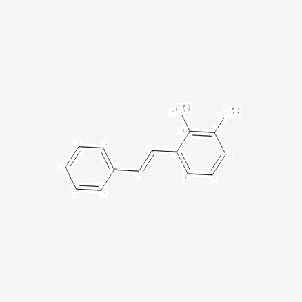 N#Cc1cccc(/C=C/c2ccccc2)c1C#N